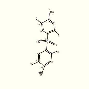 CCCCc1cc(C)c(S(=O)(=O)c2cc(C)c(CCCC)cc2C)cc1C